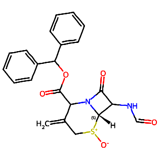 C=C1C[S+]([O-])[C@H]2C(NC=O)C(=O)N2C1C(=O)OC(c1ccccc1)c1ccccc1